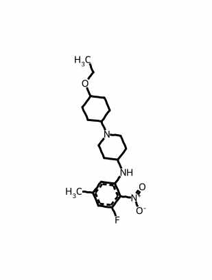 CCOC1CCC(N2CCC(Nc3cc(C)cc(F)c3[N+](=O)[O-])CC2)CC1